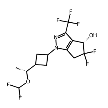 C[C@@H](OC(F)F)C1CC(n2nc(C(F)(F)F)c3c2CC(F)(F)[C@H]3O)C1